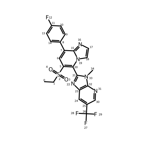 CCS(=O)(=O)c1cc(-c2ccc(F)cc2)c2nccn2c1-c1nc2cc(C(F)(F)F)cnc2n1C